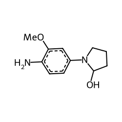 COc1cc(N2CCCC2O)ccc1N